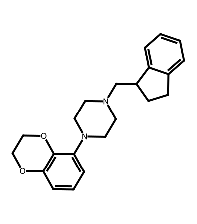 c1ccc2c(c1)CCC2CN1CCN(c2cccc3c2OCCO3)CC1